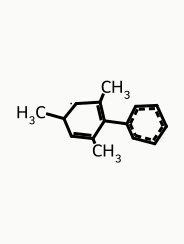 CC1=CC(C)[CH]C(C)=C1c1ccccc1